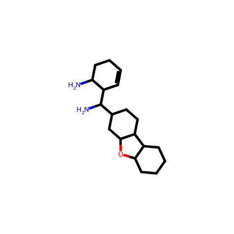 NC1CCC=CC1C(N)C1CCC2C(C1)OC1CCCCC12